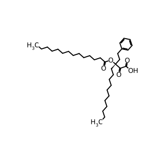 CCCCCCCCCCCCCC(=O)O[C@](CCCCCCCCCCC)(CCc1ccccc1)C(=O)C(=O)O